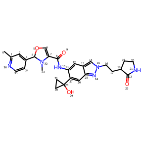 Cc1cc(C2OC=C(C(=O)Nc3cc4cn(CCC5CCNC5=O)nc4cc3C3(O)CC3)N2C)ccn1